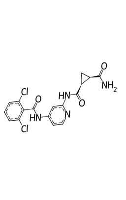 NC(=O)[C@@H]1C[C@@H]1C(=O)Nc1cc(NC(=O)c2c(Cl)cccc2Cl)ccn1